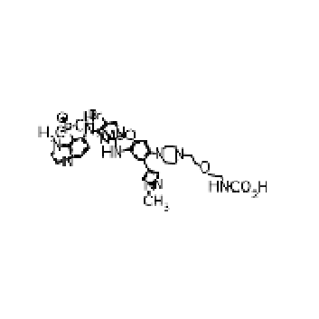 COc1cc(N2CCN(CCOCCNC(=O)O)CC2)c(-c2cnn(C)c2)cc1Nc1ncc(Br)c(Nc2ccc3nccnc3c2P(C)(C)=O)n1